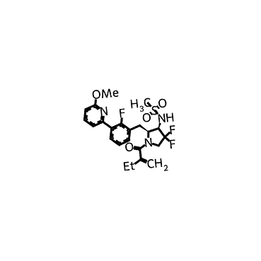 C=C(CC)C(=O)N1CC(F)(F)[C@H](NS(C)(=O)=O)[C@@H]1Cc1cccc(-c2cccc(OC)n2)c1F